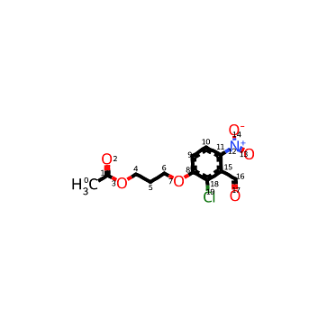 CC(=O)OCCCOc1ccc([N+](=O)[O-])c(C=O)c1Cl